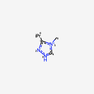 CC(C)c1n[nH]c[n+]1C